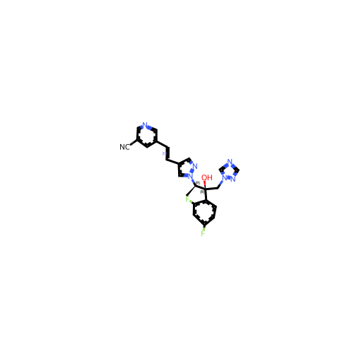 C[C@@H](n1cc(/C=C/c2cncc(C#N)c2)cn1)[C@](O)(Cn1cncn1)c1ccc(F)cc1F